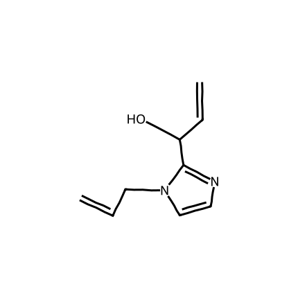 C=CCn1ccnc1C(O)C=C